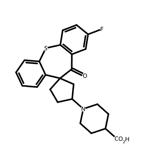 O=C(O)C1CCN(C2CCC3(C2)C(=O)c2cc(F)ccc2Sc2ccccc23)CC1